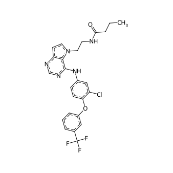 CCCC(=O)NCCn1ccc2ncnc(Nc3ccc(Oc4cccc(C(F)(F)F)c4)c(Cl)c3)c21